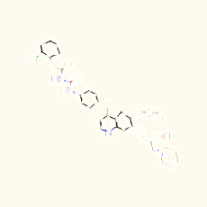 COc1cc2c(Oc3ccc(NC(=O)NC(=O)Cc4ccccc4Cl)cc3F)ccnc2cc1OCC(O)CN1CCCCC1